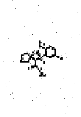 CC(C)(C)OC(=O)N(C1(C)CCNC1)S(=O)(=O)c1cc(Br)cnc1N